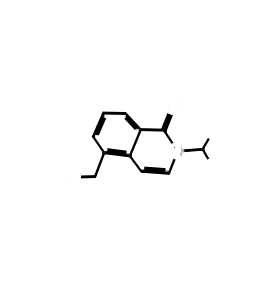 CCc1cccc2c(=O)n(C(F)F)ccc12